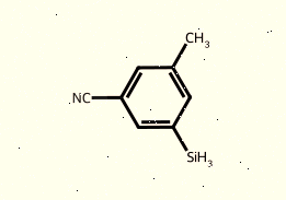 Cc1cc([SiH3])cc(C#N)c1